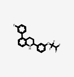 Fc1cccc(-c2cccc3c2CCC(c2cccc(OC(F)(F)C(F)F)c2)N3)c1